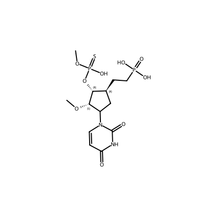 CO[C@H]1C(n2ccc(=O)[nH]c2=O)C[C@H](CCP(=O)(O)O)[C@H]1OP(O)(=S)OC